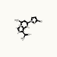 Cc1cc(-n2ccc(Cl)n2)nc2c(C(=O)O)ncn12